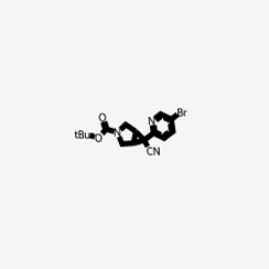 CC(C)(C)OC(=O)N1CC2C(C1)C2(C#N)c1ccc(Br)cn1